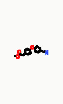 COC(=O)Cc1ccc(Oc2ccc(C#N)cc2)cc1